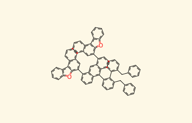 c1ccc(Cc2ccccc2-c2c(Cc3ccccc3)cccc2-c2c3cccc(-c4cc5ccccc5c5c4oc4ccccc45)c3cc3c(-c4cc5ccccc5c5c4oc4ccccc45)cccc23)cc1